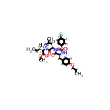 C=CCOc1ccc(C[C@H](NS(=O)(=O)c2ccc(F)cc2)C(=O)N[C@@H](CC(C)C)C(=O)N[C@@H](CC=C)C(=O)OC)cc1